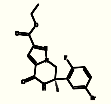 CCOC(=O)c1cc2n(n1)C[C@@](C)(c1cc(Br)ccc1F)NC2=O